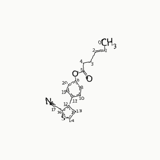 CC=CCCC(=O)Oc1ccc(-c2ccsc2C#N)cc1